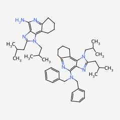 CC(C)Cc1nc2c(N(Cc3ccccc3)Cc3ccccc3)nc3c(c2n1CC(C)C)CCCC3.CC(C)Cc1nc2c(N)nc3c(c2n1CC(C)C)CCCC3